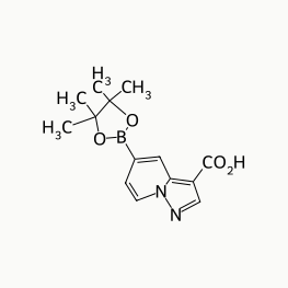 CC1(C)OB(c2ccn3ncc(C(=O)O)c3c2)OC1(C)C